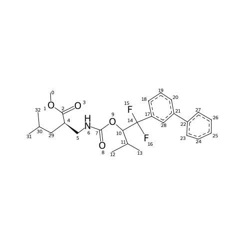 COC(=O)[C@@H](CNC(=O)OC(C(C)C)C(F)(F)c1cccc(-c2ccccc2)c1)CC(C)C